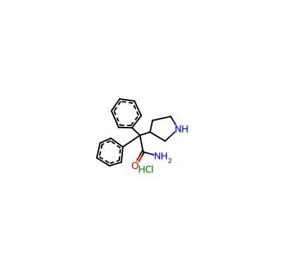 Cl.NC(=O)C(c1ccccc1)(c1ccccc1)C1CCNC1